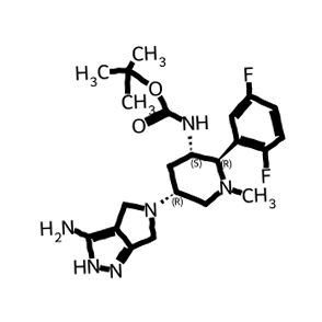 CN1C[C@H](N2Cc3n[nH]c(N)c3C2)C[C@H](NC(=O)OC(C)(C)C)[C@H]1c1cc(F)ccc1F